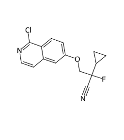 N#CC(F)(COc1ccc2c(Cl)nccc2c1)C1CC1